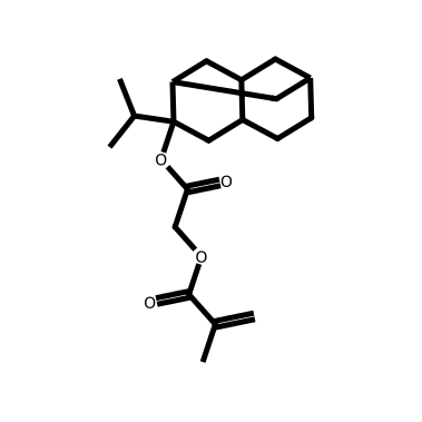 C=C(C)C(=O)OCC(=O)OC1(C(C)C)CC2CCC3CC2CC1C3